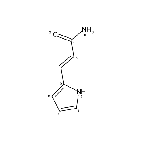 NC(=O)C=Cc1ccc[nH]1